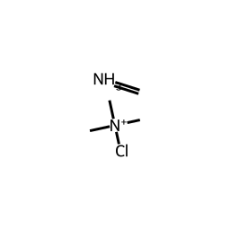 C=C.C[N+](C)(C)Cl.N